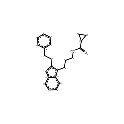 O=C(NCCCc1c(CCc2ccccc2)oc2ccccc12)C1CC1